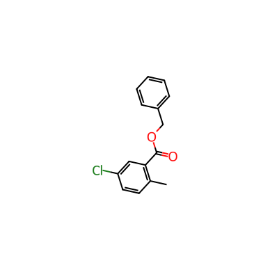 Cc1ccc(Cl)cc1C(=O)OCc1ccccc1